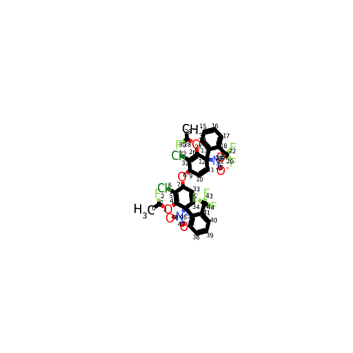 CC(F)OC1=C(Cl)C(OC2C=CC(c3ccccc3C(F)(F)F)([N+](=O)[O-])C(OC(C)F)=C2Cl)C=CC1(c1ccccc1C(F)(F)F)[N+](=O)[O-]